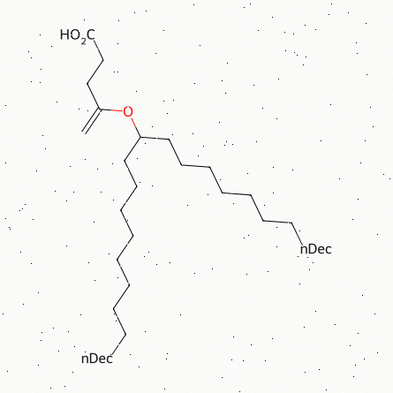 C=C(CCC(=O)O)OC(CCCCCCCCCCCCCCCCC)CCCCCCCCCCCCCCCCCC